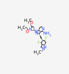 C=CC(=O)N1CC(n2nc(C#Cc3c(F)cc4nn(CC)cc4c3F)c3c(N)nccc32)C[C@@H]1COC